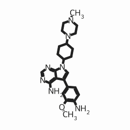 COc1cc(-c2cn(C3CCC(N4CCN(C)CC4)CC3)c3ncnc(N)c23)ccc1N